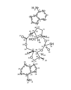 Nc1ncnc2c1ncn2[C@@H]1C[C@@H]2OP(=O)(S)O[C@H]3[C@@H](F)[C@H](n4cnc5c(N)ncnc54)O[C@@H]3COC(=O)O[C@@H]1[C@@H]2O